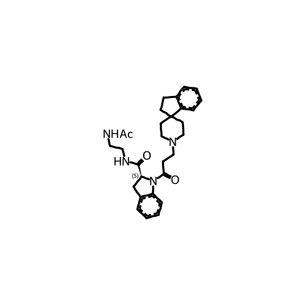 CC(=O)NCCNC(=O)[C@@H]1Cc2ccccc2N1C(=O)CCN1CCC2(CCc3ccccc32)CC1